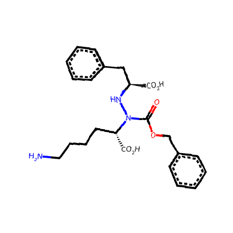 NCCCC[C@@H](C(=O)O)N(N[C@@H](Cc1ccccc1)C(=O)O)C(=O)OCc1ccccc1